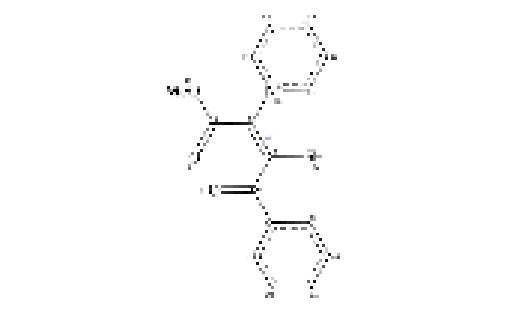 COC(=O)/C(=C(/S)C(=O)c1ccccc1)[n+]1ccccc1